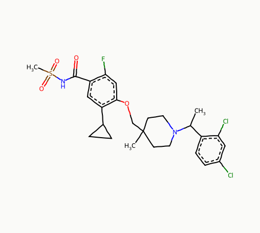 CC(c1ccc(Cl)cc1Cl)N1CCC(C)(COc2cc(F)c(C(=O)NS(C)(=O)=O)cc2C2CC2)CC1